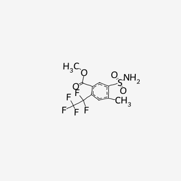 COC(=O)c1cc(S(N)(=O)=O)c(C)cc1C(F)(F)C(F)(F)F